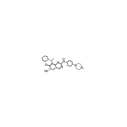 CC(c1ccccc1)n1c(=O)c(C#N)cc2cnc(Nc3ccc(N4CCN(C)CC4)cc3)nc21